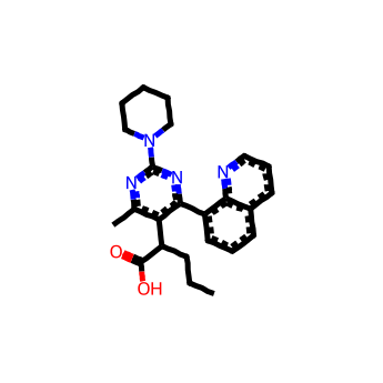 CCCC(C(=O)O)c1c(C)nc(N2CCCCC2)nc1-c1cccc2cccnc12